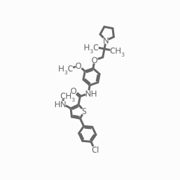 CNc1cc(-c2ccc(Cl)cc2)sc1C(=O)Nc1ccc(OCC(C)(C)N2CCCC2)c(OC)c1